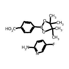 CC1(C)OB(c2ccc(C(=O)O)cc2)OC1(C)C.Nc1ccc(F)cn1